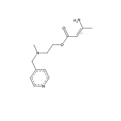 C/C(N)=C/C(=O)OCCN(C)Cc1ccncc1